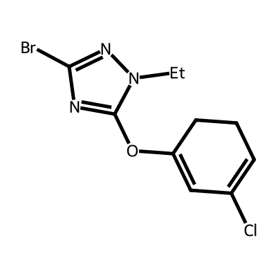 CCn1nc(Br)nc1OC1=CC(Cl)=CCC1